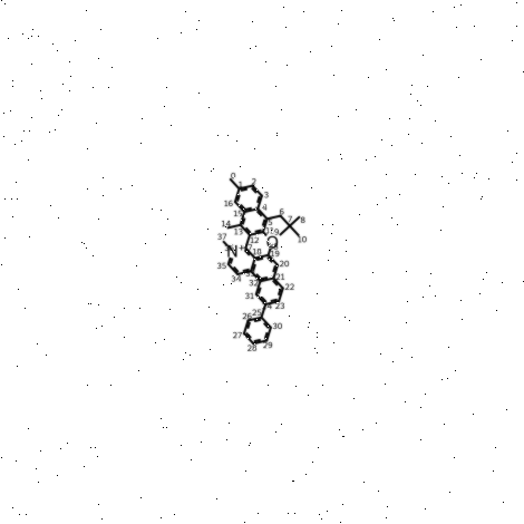 Cc1ccc2c(CC(C)(C)C)c3c(c(C)c2c1)-c1c2c(cc4ccc(-c5ccccc5)cc4c2cc[n+]1C)O3